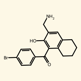 NCc1cc2c(c(C(=O)c3ccc(Br)cc3)c1O)CCCC2